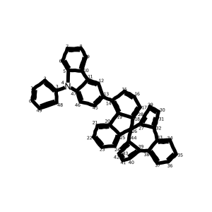 c1ccc(-n2c3ccccc3c3cc(-c4cccc5c4-c4ccccc4C54c5ccccc5-c5ccccc5-c5ccccc54)ccc32)cc1